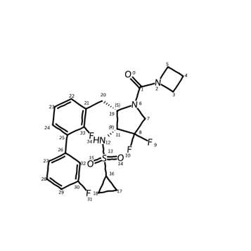 O=C(N1CCC1)N1CC(F)(F)[C@H](NS(=O)(=O)C2CC2)[C@@H]1Cc1cccc(-c2cccc(F)c2)c1F